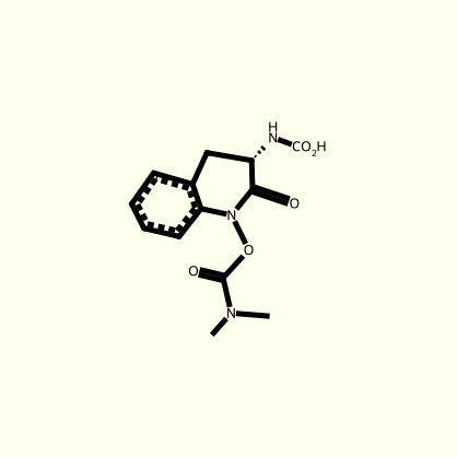 CN(C)C(=O)ON1C(=O)[C@@H](NC(=O)O)Cc2ccccc21